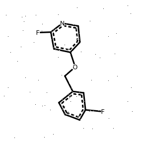 Fc1cccc(COc2ccnc(F)c2)c1